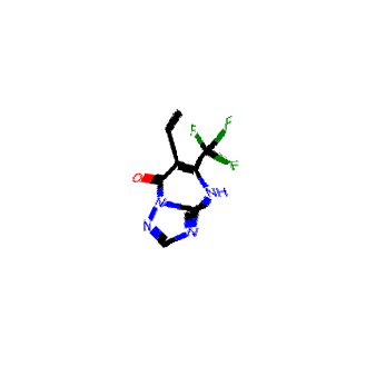 CCc1c(C(F)(F)F)[nH]c2ncnn2c1=O